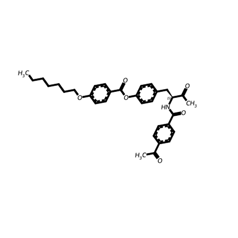 CCCCCCCOc1ccc(C(=O)Oc2ccc(C[C@H](NC(=O)c3ccc(C(C)=O)cc3)C(C)=O)cc2)cc1